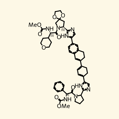 COC(=O)N[C@H](C(=O)N1CC2(C[C@H]1c1ncc(-c3ccc4c(c3)CCC(C3=CC=C(c5cnc(C6CCCN6C(=O)[C@H](NC(=O)OC)c6ccccc6)[nH]5)CC3)=C4)[nH]1)OCCO2)C1CCOCC1